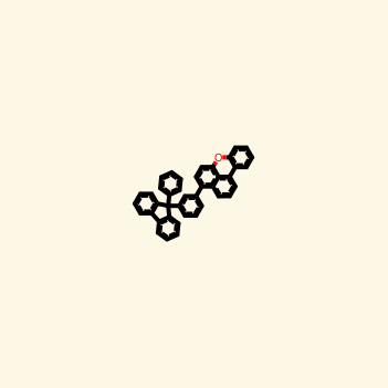 c1ccc(C2(c3cccc(-c4ccc5c6c(cccc46)-c4ccccc4O5)c3)c3ccccc3-c3ccccc32)cc1